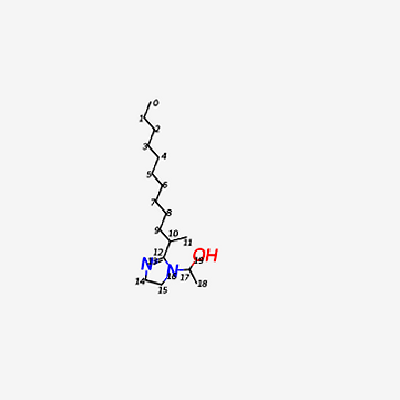 CCCCCCCCCCC(C)C1=NCCN1C(C)O